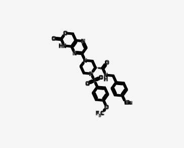 CC(C)(C)c1ccc(CNC(=O)[C@H]2CN(c3cnc4c(n3)NC(=O)OC4)CCN2S(=O)(=O)c2ccc(OC(F)(F)F)cc2)cc1